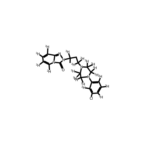 [2H]c1c([2H])c(Cl)c([2H])c(N2C([2H])([2H])C([2H])([2H])N(C([2H])([2H])CC([2H])(C)n3nc4c([2H])c([2H])c([2H])c([2H])n4c3=O)C([2H])([2H])C2([2H])[2H])c1[2H]